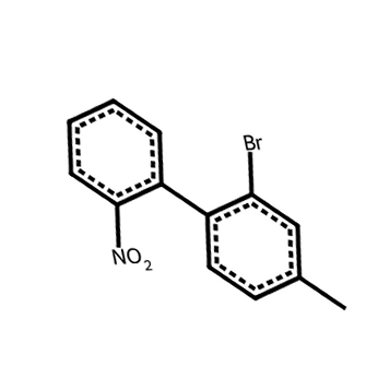 Cc1ccc(-c2ccccc2[N+](=O)[O-])c(Br)c1